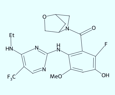 CCNc1nc(Nc2c(OC)cc(O)c(F)c2C(=O)N2CC3CC2CO3)ncc1C(F)(F)F